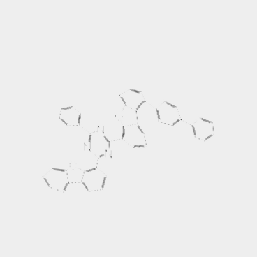 c1ccc(-c2ccc(-c3cccc4oc5c(-c6nc(-c7ccccc7)nc(-c7cccc8c7oc7ccccc78)n6)cccc5c34)cc2)cc1